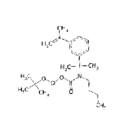 C=C(C)c1cccc(C(C)(C)N(CCCC)C(=O)OOOC(C)(C)C)c1